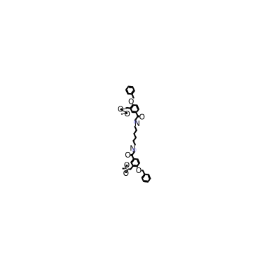 CS(=O)(=O)Cc1cc(C(=O)/C=N/CCCCCC/N=C/C(=O)c2ccc(OCc3ccccc3)c(CS(C)(=O)=O)c2)ccc1OCc1ccccc1